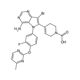 Cc1ccnc(Oc2ccc(-n3c(C4=CCN(C(=O)O)CC4)c(Br)c4ncnc(N)c43)cc2F)n1